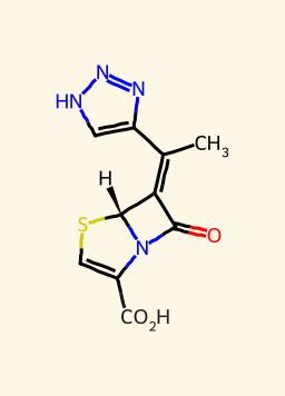 CC(=C1C(=O)N2C(C(=O)O)=CS[C@H]12)c1c[nH]nn1